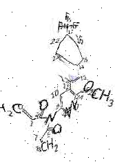 C=CC(=O)N(C(=O)C=C)c1cc(/C=C/[C@H]2CC[C@H](C(F)(F)F)CC2)c(OC)nn1